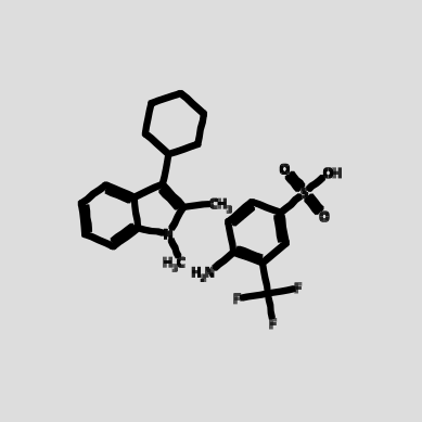 Cc1c(C2CCCCC2)c2ccccc2n1C.Nc1ccc(S(=O)(=O)O)cc1C(F)(F)F